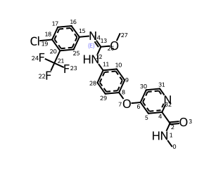 CNC(=O)c1cc(Oc2ccc(N/C(=N\c3ccc(Cl)c(C(F)(F)F)c3)OC)cc2)ccn1